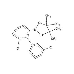 CC1(C)OB(c2cccc(Cl)c2-c2cccc(Cl)c2)OC1(C)C